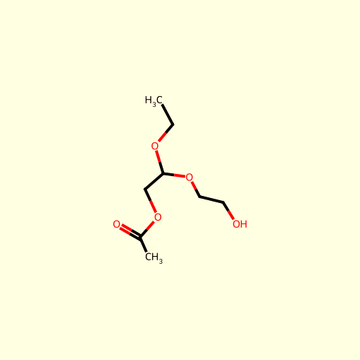 CCOC(COC(C)=O)OCCO